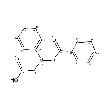 O=C(O)CN(OC(=O)c1ccccc1)c1ccccc1